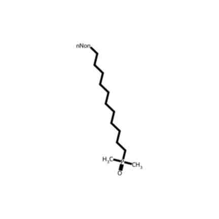 CCCCCCCCCCCCCCCCCCCCP(C)(C)=O